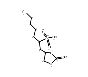 CCCCCC(CC1COC(=O)O1)S(=O)(=O)O